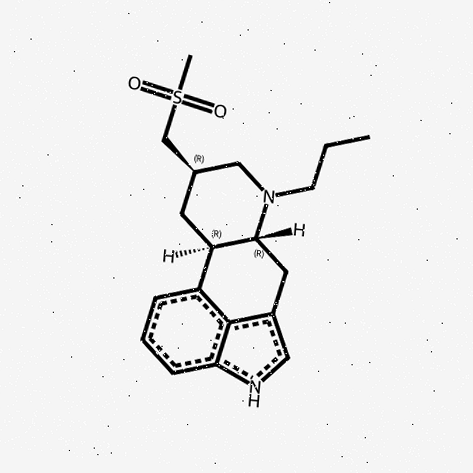 CCCN1C[C@H](CS(C)(=O)=O)C[C@@H]2c3cccc4[nH]cc(c34)C[C@H]21